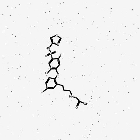 O=C(O)CNCCCc1cc(Cl)ccc1Oc1cc(F)c(S(=O)(=O)Nc2cscn2)cc1Cl